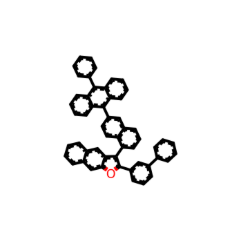 c1ccc(-c2cccc(-c3oc4cc5ccccc5cc4c3-c3cccc4cc(-c5c6ccccc6c(-c6ccccc6)c6ccccc56)ccc34)c2)cc1